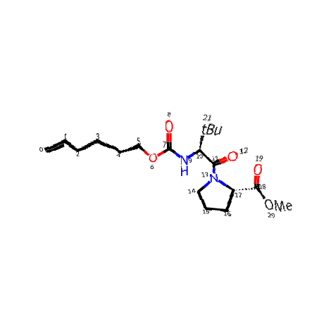 C=CCCCCOC(=O)N[C@H](C(=O)N1CCC[C@H]1C(=O)OC)C(C)(C)C